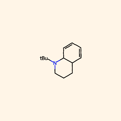 CC(C)(C)N1CCCC2C=CC=CC21